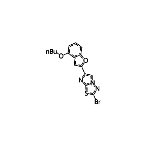 CCCCOc1cccc2oc(-c3cn4nc(Br)sc4n3)cc12